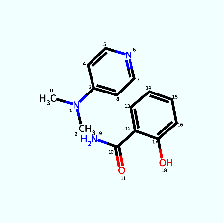 CN(C)c1ccncc1.NC(=O)c1ccccc1O